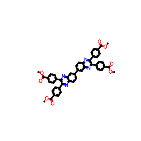 COC(=O)c1ccc(-c2nc3ccc(-c4ccc5nc(-c6ccc(C(=O)OC)cc6)c(-c6ccc(C(=O)OC)cc6)nc5c4)cc3nc2-c2ccc(C(=O)OC)cc2)cc1